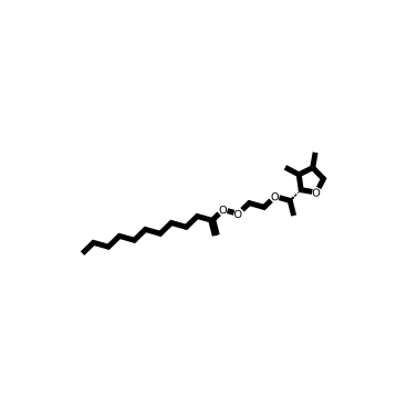 C=C(CCCCCCCCCC)OOCCOC(C)[C@H]1OCC(C)C1C